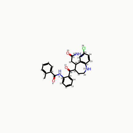 Cc1ccccc1C(=O)Nc1ccccc1C(=O)C1CCNc2ccc(Cl)cc2C1CC(N)=O